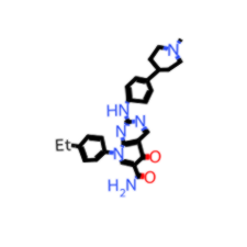 CCc1ccc(-n2cc(C(N)=O)c(=O)c3cnc(Nc4ccc(C5CCN(C)CC5)cc4)nc32)cc1